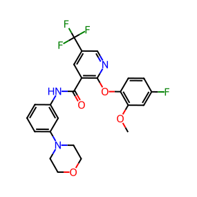 COc1cc(F)ccc1Oc1ncc(C(F)(F)F)cc1C(=O)Nc1cccc(N2CCOCC2)c1